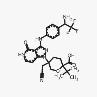 CC(C)(C)C1(C(=O)O)CCC(CC#N)(n2nc(Nc3ccc(C(N)C(F)(F)F)cc3)c3c(=O)[nH]ccc32)CO1